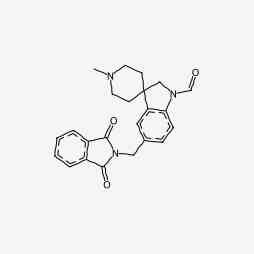 CN1CCC2(CC1)CN(C=O)c1ccc(CN3C(=O)c4ccccc4C3=O)cc12